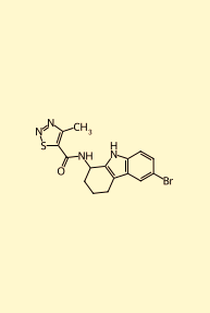 Cc1nnsc1C(=O)NC1CCCc2c1[nH]c1ccc(Br)cc21